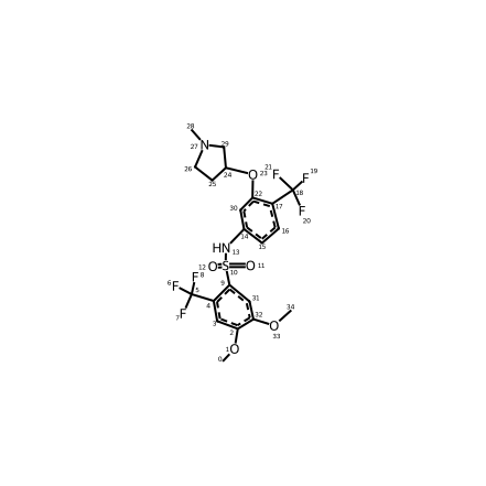 COc1cc(C(F)(F)F)c(S(=O)(=O)Nc2ccc(C(F)(F)F)c(OC3CCN(C)C3)c2)cc1OC